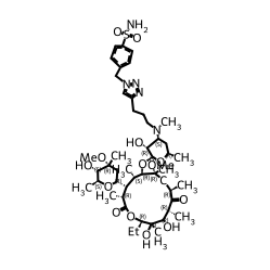 CC[C@H]1OC(=O)[C@H](C)C([C@H]2C[C@@](C)(OC)[C@@H](O)[C@H](C)O2)[C@H](C)[C@@H](O[C@@H]2O[C@H](C)C[C@H](N(C)CCCc3cn(Cc4ccc(S(N)(=O)=O)cc4)nn3)[C@H]2O)[C@](C)(OC)C[C@@H](C)C(=O)[C@H](C)[C@@H](O)[C@]1(C)O